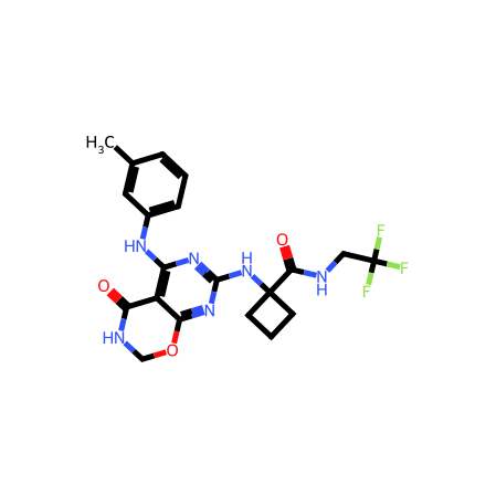 Cc1cccc(Nc2nc(NC3(C(=O)NCC(F)(F)F)CCC3)nc3c2C(=O)NCO3)c1